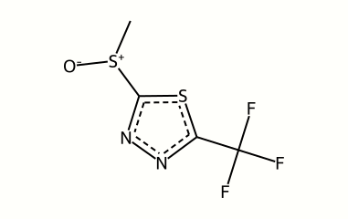 C[S+]([O-])c1nnc(C(F)(F)F)s1